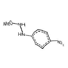 CONNc1ccc([N+](=O)[O-])cc1